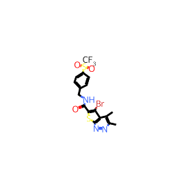 Cc1nnc2sc(C(=O)NCc3ccc(S(=O)(=O)C(F)(F)F)cc3)c(Br)c2c1C